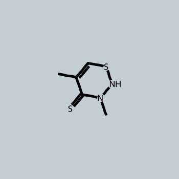 CC1=CSNN(C)C1=S